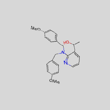 COc1ccc(CN(Cc2ccc(OC)cc2)c2ncccc2C(C)O)cc1